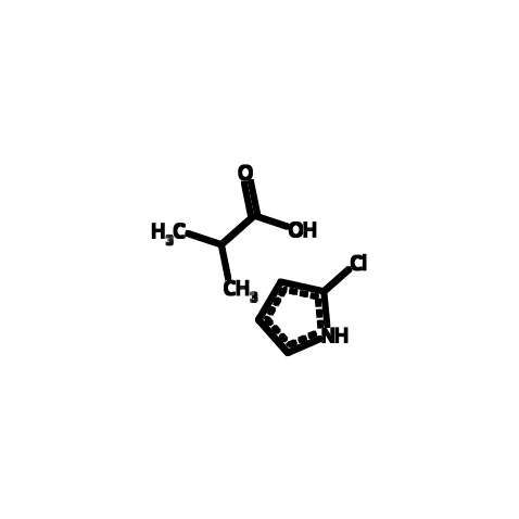 CC(C)C(=O)O.Clc1ccc[nH]1